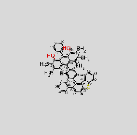 Bc1c(B)c(O)c2c(-c3ccccc3)c3c(O)c(B)c(B)c(B)c3c(-c3ccc(-c4c(-c5ccccc5)ccc5sc6ccccc6c45)cc3)c2c1B